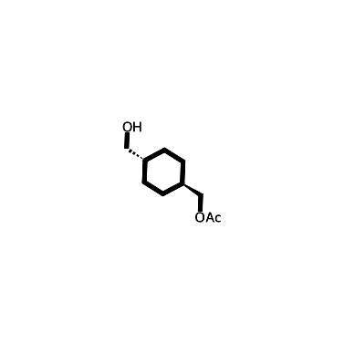 CC(=O)OC[C@H]1CC[C@H](CO)CC1